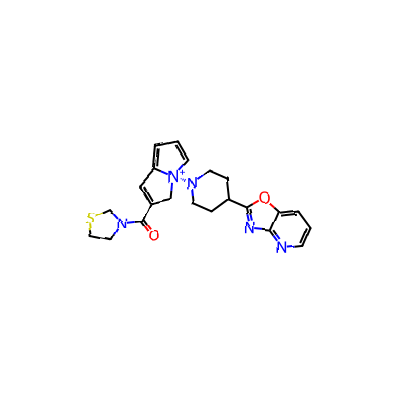 O=C(C1=CC2=CC=C[N@@+]2(N2CCC(c3nc4ncccc4o3)CC2)C1)N1CCSC1